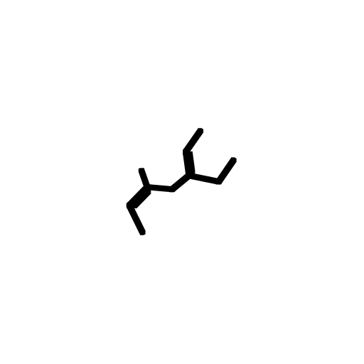 CC=C(C)CC(=CC)CC